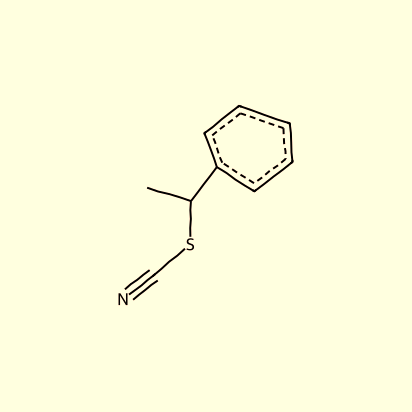 CC(SC#N)c1ccccc1